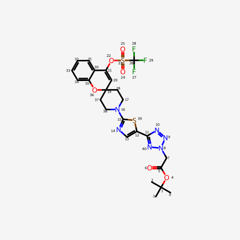 CC(C)(C)OC(=O)Cn1nnc(-c2cnc(N3CCC4(C=C(OS(=O)(=O)C(F)(F)F)c5ccccc5O4)CC3)s2)n1